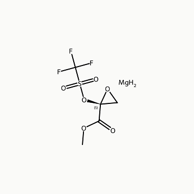 COC(=O)[C@@]1(OS(=O)(=O)C(F)(F)F)CO1.[MgH2]